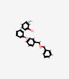 [O-]c1ccccc1.[O-]c1ccccc1.[Y+2].c1ccc(COCc2ccccc2)cc1